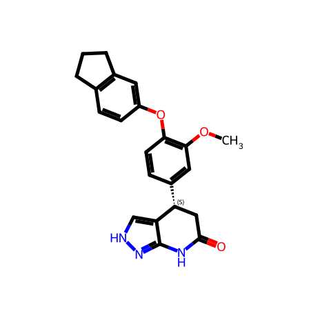 COc1cc([C@@H]2CC(=O)Nc3n[nH]cc32)ccc1Oc1ccc2c(c1)CCC2